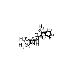 CCc1nc(NC(=O)c2oc3c(F)cccc3c2C)sc1C